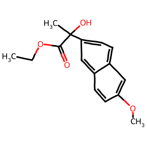 CCOC(=O)C(C)(O)c1ccc2cc(OC)ccc2c1